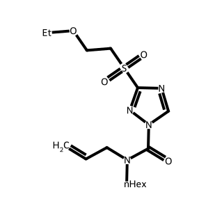 C=CCN(CCCCCC)C(=O)n1cnc(S(=O)(=O)CCOCC)n1